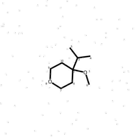 COC1(C(C)C)CCOCC1